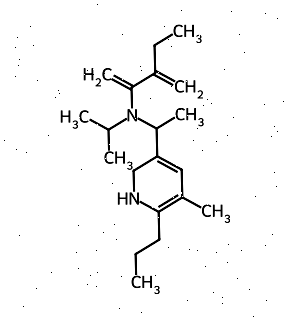 C=C(CC)C(=C)N(C(C)C)C(C)C1=CC(C)=C(CCC)NC1